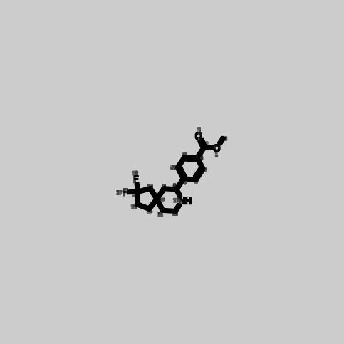 COC(=O)c1ccc(C2CC3(CCN2)CCC(F)(F)C3)cc1